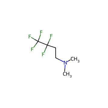 CN(C)CCC(F)(F)C(F)(F)F